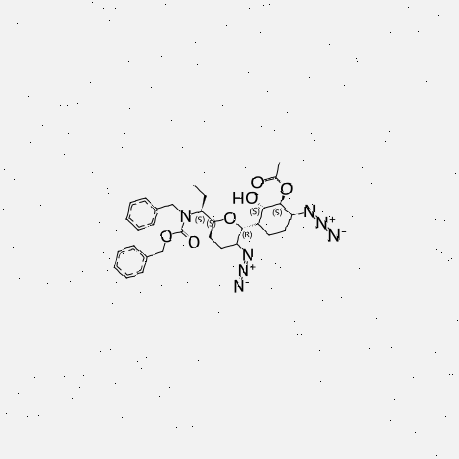 CC[C@@H]([C@@H]1CCC(N=[N+]=[N-])[C@@H](C2CCC(N=[N+]=[N-])[C@H](OC(C)=O)[C@H]2O)O1)N(Cc1ccccc1)C(=O)OCc1ccccc1